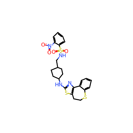 O=[N+]([O-])c1ccccc1S(=O)(=O)NCC1CCC(Nc2nc3c(s2)CCSc2ccccc2-3)CC1